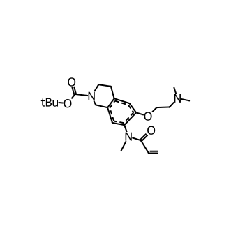 C=CC(=O)N(C)c1cc2c(cc1OCCN(C)C)CCN(C(=O)OC(C)(C)C)C2